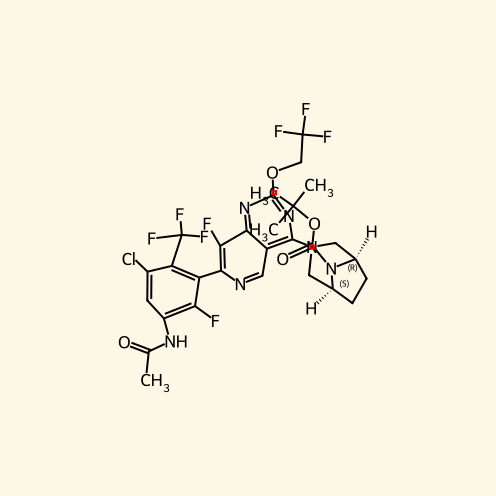 CC(=O)Nc1cc(Cl)c(C(F)(F)F)c(-c2ncc3c(N4C[C@H]5CC[C@@H](C4)N5C(=O)OC(C)(C)C)nc(OCC(F)(F)F)nc3c2F)c1F